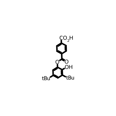 CC(C)(C)c1cc(OC(=O)c2ccc(C(=O)O)cc2)c(O)c(C(C)(C)C)c1